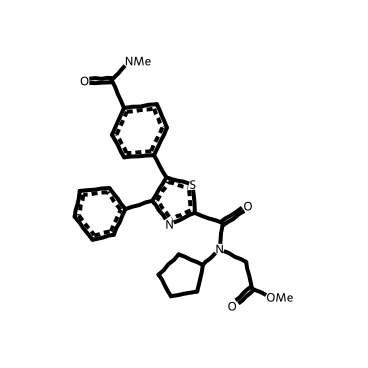 CNC(=O)c1ccc(-c2sc(C(=O)N(CC(=O)OC)C3CCCC3)nc2-c2ccccc2)cc1